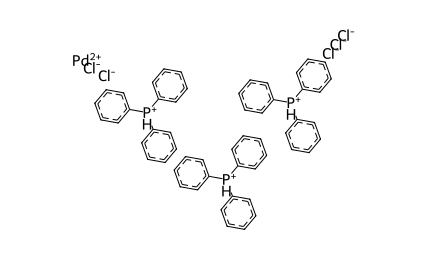 [Cl-].[Cl-].[Cl-].[Cl-].[Cl-].[Pd+2].c1ccc([PH+](c2ccccc2)c2ccccc2)cc1.c1ccc([PH+](c2ccccc2)c2ccccc2)cc1.c1ccc([PH+](c2ccccc2)c2ccccc2)cc1